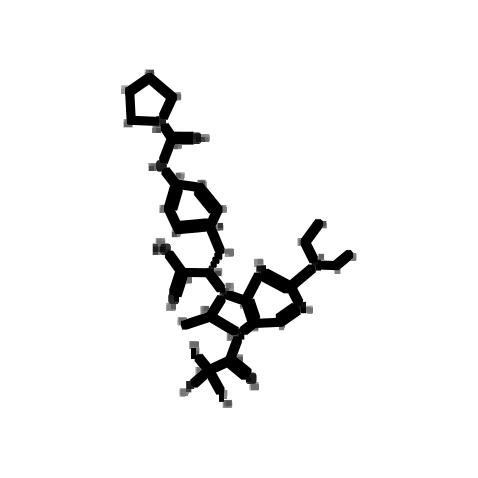 CCN(CC)c1ncc2c(n1)N([C@@H](Cc1ccc(OC(=O)N3CCCC3)cc1)C(=O)O)C(C)N2C(=O)C(F)(F)F